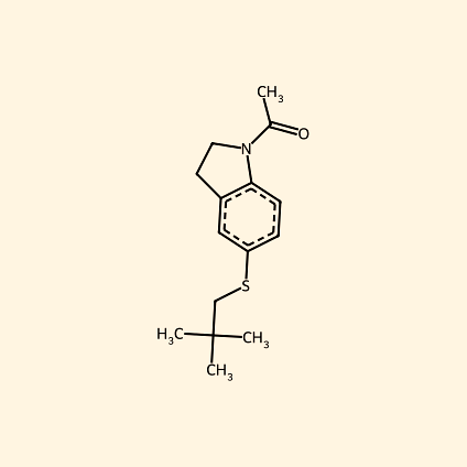 CC(=O)N1CCc2cc(SCC(C)(C)C)ccc21